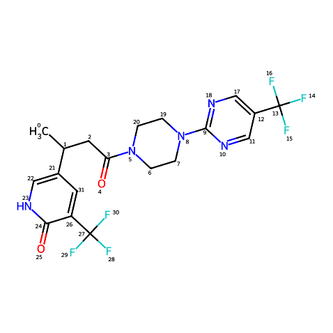 CC(CC(=O)N1CCN(c2ncc(C(F)(F)F)cn2)CC1)c1c[nH]c(=O)c(C(F)(F)F)c1